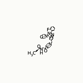 CC#CC(=O)NCC(=O)N1CCN(Cc2cc3c(N4CCOCC4)nc(-c4ccccc4F)nn3c2)CC1